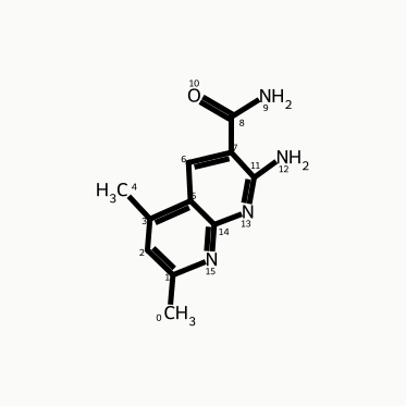 Cc1cc(C)c2cc(C(N)=O)c(N)nc2n1